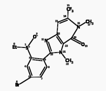 CC[S+]([O-])c1cc(Br)ccc1-c1nc2cc(C(F)(F)F)n(C)c(=O)c2n1C